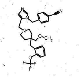 COCC1(Cc2ccccc2OC(F)(F)F)CCN(Cc2cncn2Cc2ccc(C#N)cc2)CC1